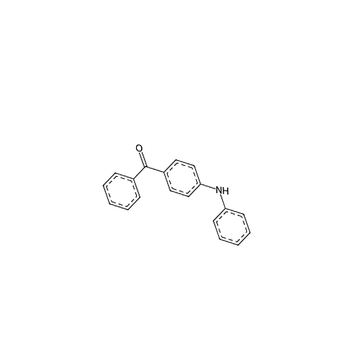 O=C(c1ccccc1)c1ccc(Nc2ccccc2)cc1